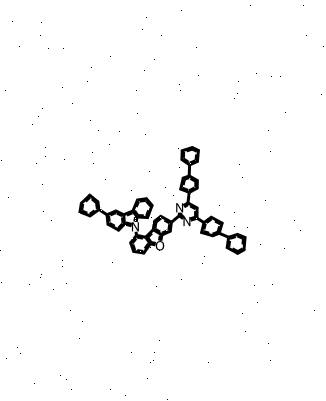 c1ccc(-c2ccc(-c3cc(-c4ccc(-c5ccccc5)cc4)nc(-c4ccc5c(c4)oc4cccc(-n6c7ccccc7c7cc(-c8ccccc8)ccc76)c45)n3)cc2)cc1